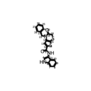 O=C(Nc1c[nH]c2ccccc12)c1cc2c(s1)SCC(=O)N2Cc1ccccc1